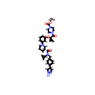 CC(C)(C)OC(=O)N1CCN(C(=O)C2(Oc3cccc(N4CCC[C@@H](C(=O)N(Cc5ccc(-c6cn[nH]c6)cc5)C5CC5)C4)c3)CC2)CC1